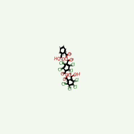 O=C(O)c1ccccc1C(=O)OC(=O)c1c(Cl)c(Cl)c(C(=O)OC(=O)c2c(Cl)c(Cl)c(Cl)c(Cl)c2C(=O)O)c(Cl)c1Cl